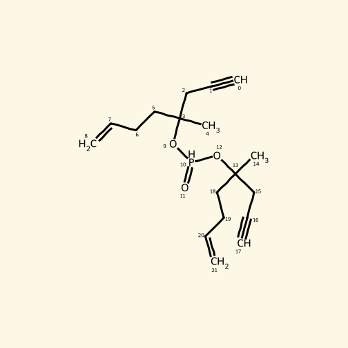 C#CCC(C)(CCC=C)O[PH](=O)OC(C)(CC#C)CCC=C